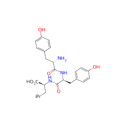 CC(C)C[C@H](NC(=O)[C@H](Cc1ccc(O)cc1)NC(=O)[C@@H](N)Cc1ccc(O)cc1)C(=O)O